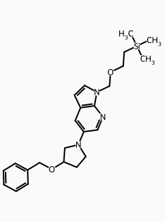 C[Si](C)(C)CCOCn1ccc2cc(N3CCC(OCc4ccccc4)C3)cnc21